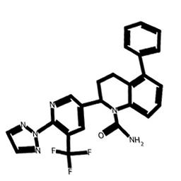 NC(=O)N1c2cccc(-c3ccccc3)c2CCC1c1cnc(-n2nccn2)c(C(F)(F)F)c1